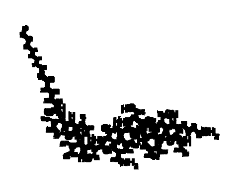 CCCCCCCCCCCCCCCC(=O)N[C@H](C(=O)N[C@H](C(=O)N[C@H](C(=O)N[C@@H](CO)C(=O)N[C@@H](CCCCN)C(=O)N[C@@H](CC(C)C)C(=O)N[C@@H](CO)C(=O)N[C@@H](Cc1cnc[nH]1)C(=O)N[C@@H](CO)C(=O)N[C@@H](CCCCN)C(=O)NCC)[C@@H](C)CC)[C@@H](C)CC)[C@@H](C)CC